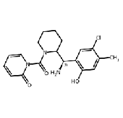 Cc1cc(O)c([C@@H](N)C2CCCCN2C(=O)n2ccccc2=O)cc1Cl